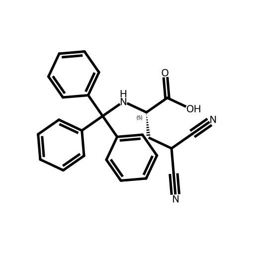 N#CC(C#N)C[C@H](NC(c1ccccc1)(c1ccccc1)c1ccccc1)C(=O)O